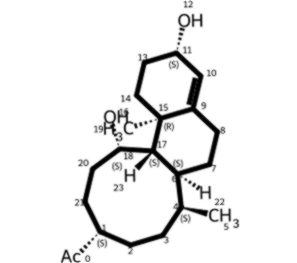 CC(=O)[C@H]1CC[C@H](C)[C@@H]2CCC3=C[C@@H](O)CC[C@]3(C)[C@H]2[C@@H](O)CC1